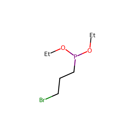 CCOP(CCCBr)OCC